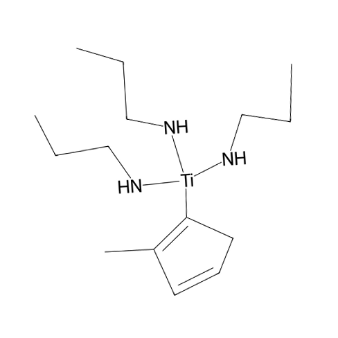 CCC[NH][Ti]([NH]CCC)([NH]CCC)[C]1=C(C)C=CC1